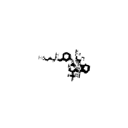 C=CC(=O)Nc1ccccc1Nc1nc(NC2CCCC(CNOCCO)C2)ncc1C(F)(F)F